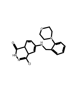 O=C1NN=C(Cl)C2C=C(NCc3ccccc3N3CCOCC3)C=CC12